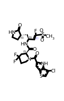 CS(=O)(=O)/C(F)=C/[C@H](C[C@@H]1CCNC1=O)NC(=O)[C@@H]1CC(F)(F)CCN1C(=O)c1cc2scc(Cl)c2[nH]1